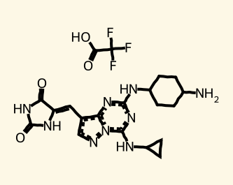 NC1CCC(Nc2nc(NC3CC3)n3ncc(C=C4NC(=O)NC4=O)c3n2)CC1.O=C(O)C(F)(F)F